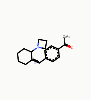 COC(=O)c1ccc(/C=C2/CCCCC2N2CCC2)cc1